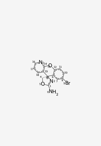 NC1=N[C@]2(CO1)c1cc(Br)ccc1Oc1ncccc12